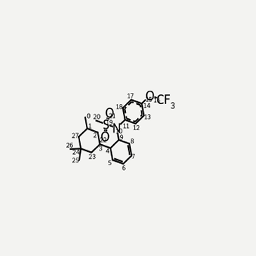 CC1CC(C2C=CC=CC2N(c2ccc(OC(F)(F)F)cc2)S(C)(=O)=O)CC(C)(C)C1